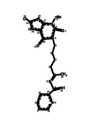 CCCCn1c(=O)n(CCCC/C(C)=N/C(=N)c2ccccn2)c(=O)c2[nH]c(Cl)nc21